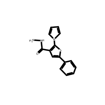 NNC(=O)c1cc(-c2ccccc2)sc1-n1cccc1